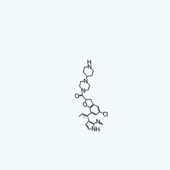 C=Nc1[nH]ccc1/C(=C\C)c1cc(Cl)cc2c1OC(C(=O)N1CCN(C3CCNCC3)CC1)C2